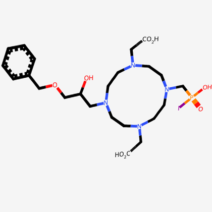 O=C(O)CN1CCN(CC(O)COCc2ccccc2)CCN(CC(=O)O)CCN(CP(=O)(O)I)CC1